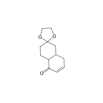 O=C1C=CCC2CC3(CCC12)OCCO3